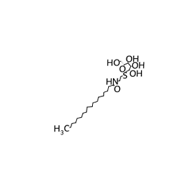 CCCCCCCCCCCCCCCCCC(=O)NCCS[C@@H]1O[C@H](CO)[C@H](O)[C@H](O)[C@H]1O